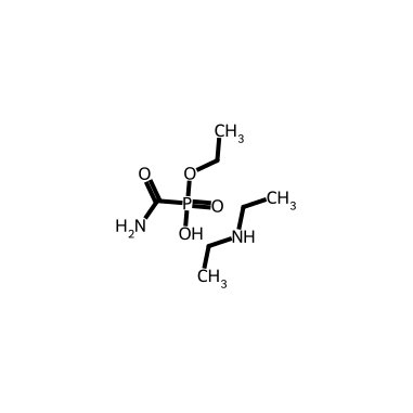 CCNCC.CCOP(=O)(O)C(N)=O